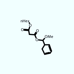 CCCCCCOC(=O)CC(=O)OC(OC)C1C=CC=CC1